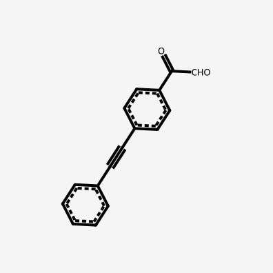 O=CC(=O)c1ccc(C#Cc2ccccc2)cc1